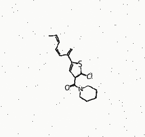 C=C(/C=C\C=C/C)C1=CC(C(=O)N2CCCCC2)C(Cl)S1